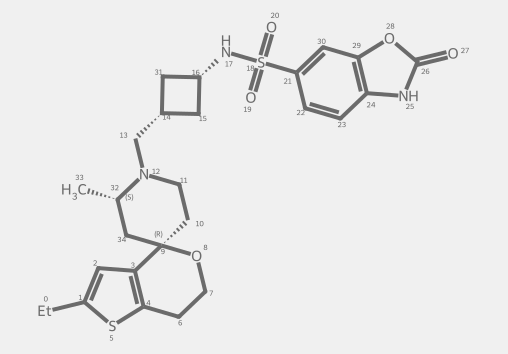 CCc1cc2c(s1)CCO[C@@]21CCN(C[C@H]2C[C@@H](NS(=O)(=O)c3ccc4[nH]c(=O)oc4c3)C2)[C@@H](C)C1